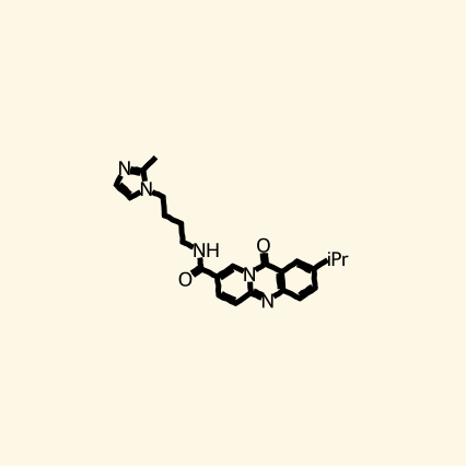 Cc1nccn1CCCCNC(=O)c1ccc2nc3ccc(C(C)C)cc3c(=O)n2c1